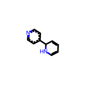 C1=CNC(c2ccncc2)C=C1